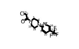 O=C(CCl)N1CCN(c2ccc(C(F)(F)F)cn2)CC1